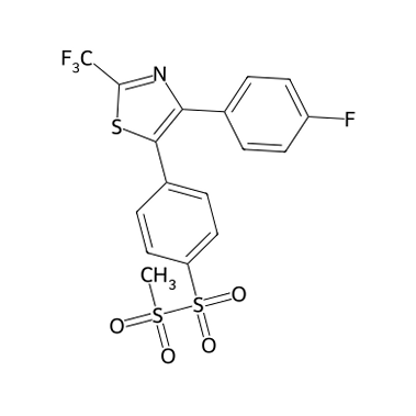 CS(=O)(=O)S(=O)(=O)c1ccc(-c2sc(C(F)(F)F)nc2-c2ccc(F)cc2)cc1